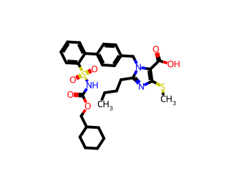 CCCCc1nc(SC)c(C(=O)O)n1Cc1ccc(-c2ccccc2S(=O)(=O)NC(=O)OCC2CCCCC2)cc1